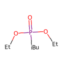 CCOP(=O)(OCC)C(C)CC